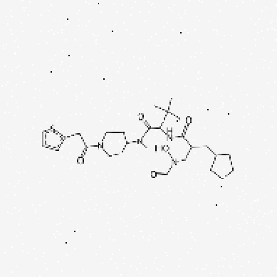 CN(C(=O)C(NC(=O)C(CC1CCCC1)CN(O)C=O)C(C)(C)C)C1CCN(C(=O)Cc2cccs2)CC1